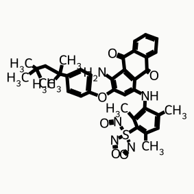 Cc1cc(C)c(S(N=O)(N=O)N=O)c(C)c1Nc1cc(Oc2ccc(C(C)(C)CC(C)(C)C)cc2)c(N)c2c1C(=O)c1ccccc1C2=O